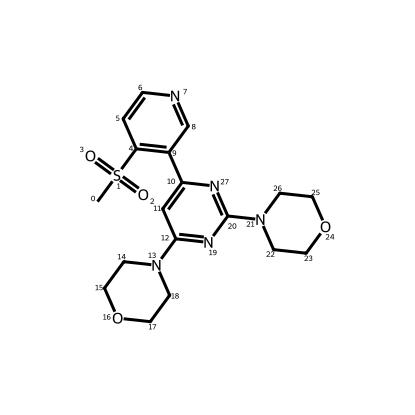 CS(=O)(=O)c1ccncc1-c1cc(N2CCOCC2)nc(N2CCOCC2)n1